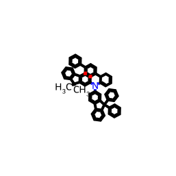 CC1(C)c2ccccc2-c2ccc(N(C3=CC=CCC3c3ccc(-c4ccccc4)cc3)c3ccc4c(c3)C(c3ccccc3)(c3ccccc3)c3ccccc3-4)cc21